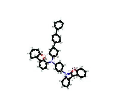 c1ccc(-c2ccc(-c3ccc(N(c4ccc(-n5c6ccccc6c6c7ccccc7oc65)cc4)c4cccc5c4oc4ccccc45)cc3)cc2)cc1